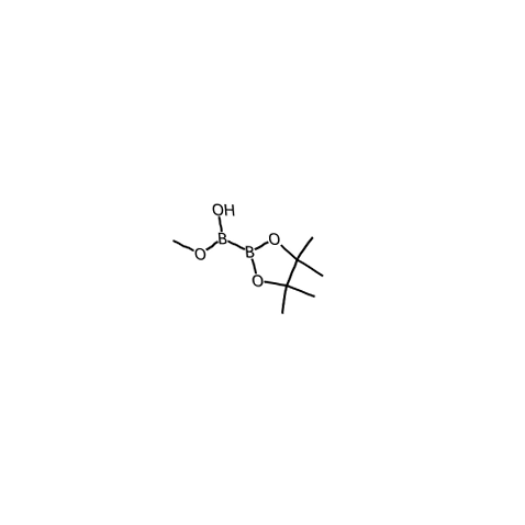 COB(O)B1OC(C)(C)C(C)(C)O1